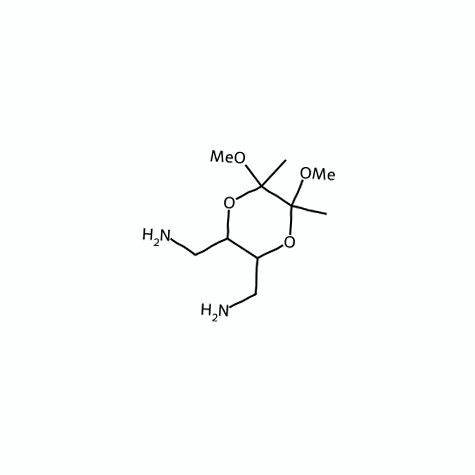 COC1(C)OC(CN)C(CN)OC1(C)OC